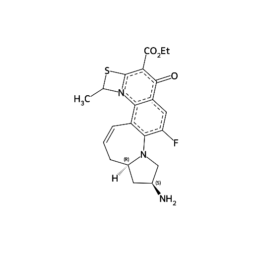 CCOC(=O)c1c2n(c3c4c(c(F)cc3c1=O)N1C[C@@H](N)C[C@H]1CC=C4)C(C)S2